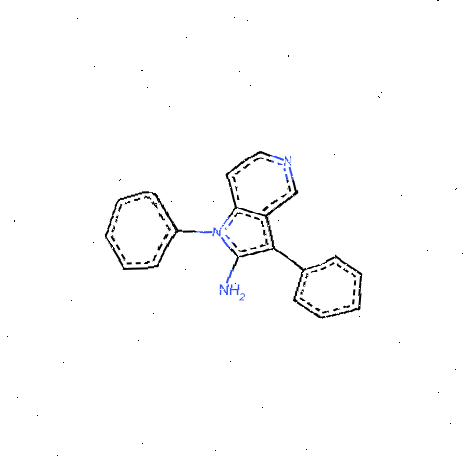 Nc1c(-c2ccccc2)c2cnccc2n1-c1ccccc1